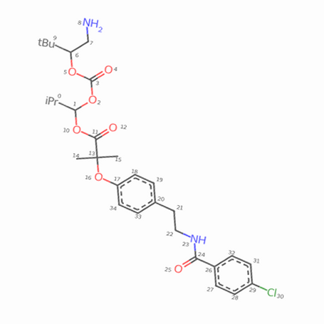 CC(C)C(OC(=O)OC(CN)C(C)(C)C)OC(=O)C(C)(C)Oc1ccc(CCNC(=O)c2ccc(Cl)cc2)cc1